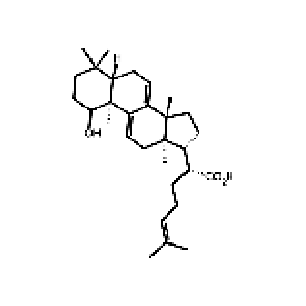 CC(C)=CCC[C@@H](C(=O)O)[C@H]1CC[C@@]2(C)C3=CC[C@H]4C(C)(C)CCC(O)[C@]4(C)C3=CC[C@]12C